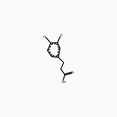 OC(=S)CCc1ccc(Cl)c(Cl)c1